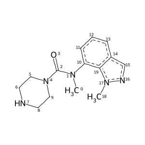 CN(C(=O)N1CCNCC1)c1cccc2cnn(C)c12